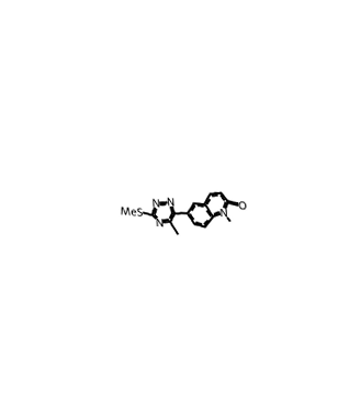 CSc1nnc(-c2ccc3c(ccc(=O)n3C)c2)c(C)n1